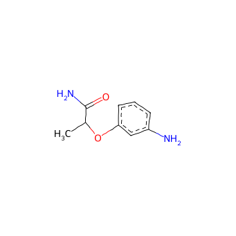 CC(Oc1cccc(N)c1)C(N)=O